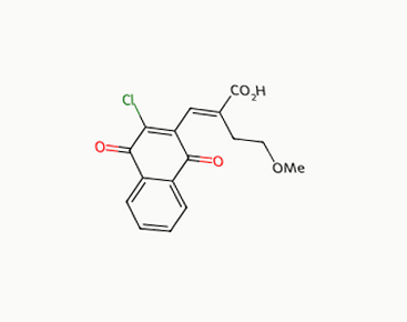 COCCC(=CC1=C(Cl)C(=O)c2ccccc2C1=O)C(=O)O